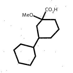 COC1(C(=O)O)CCCC(C2CCCCC2)C1